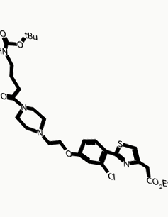 CCOC(=O)Cc1csc(-c2ccc(OCCN3CCN(C(=O)CCCNC(=O)OC(C)(C)C)CC3)cc2Cl)n1